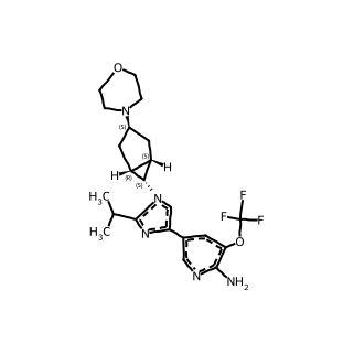 CC(C)c1nc(-c2cnc(N)c(OC(F)(F)F)c2)cn1[C@@H]1[C@@H]2C[C@@H](N3CCOCC3)C[C@@H]21